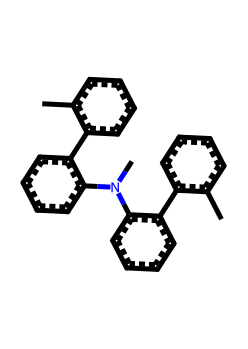 Cc1ccccc1-c1ccccc1N(C)c1ccccc1-c1ccccc1C